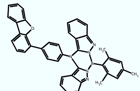 Cc1cc(C)c(B2n3nc4ccccc4c3N(c3ccc(-c4cccc5c4oc4ccccc45)cc3)c3c4ccccc4nn32)c(C)c1